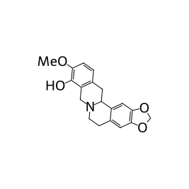 COc1ccc2c(c1O)CN1CCc3cc4c(cc3C1C2)OCO4